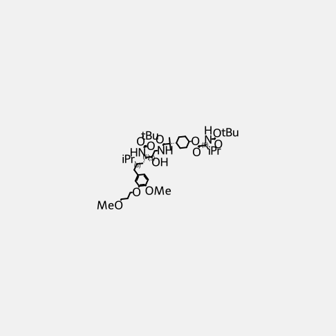 COCCCOc1cc(C[C@@H](C[C@H](NC(=O)OC(C)(C)C)[C@@H](O)CNC(=O)C(C)(C)[C@H]2CC[C@H](OC(=O)[C@@H](NC(=O)OC(C)(C)C)C(C)C)CC2)C(C)C)ccc1OC